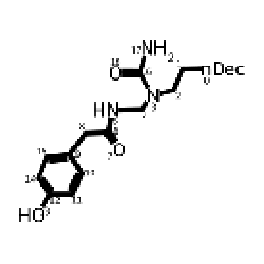 CCCCCCCCCCCCN(CNC(=O)Cc1ccc(O)cc1)C(N)=O